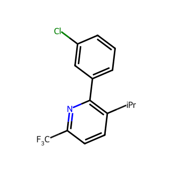 CC(C)c1ccc(C(F)(F)F)nc1-c1cccc(Cl)c1